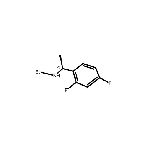 CCN[C@@H](C)c1ccc(F)cc1F